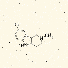 CN1CCC2Nc3ccc(Cl)cc3C2C1